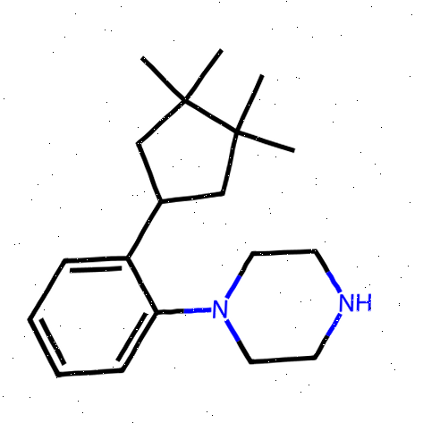 CC1(C)CC(c2ccccc2N2CCNCC2)CC1(C)C